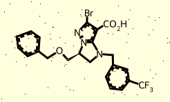 O=C(O)c1c(Br)nn2c1N(Cc1cccc(C(F)(F)F)c1)C[C@H]2COCc1ccccc1